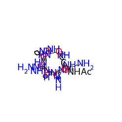 CC(=O)N[C@@H](CCCCN)C(=O)N[C@H]1CCCNC(=O)CCC(C(N)=O)NC(=O)[C@H](Cc2c[nH]c3ccccc23)NC(=O)[C@H](CCCNC(=N)N)NC(=O)[C@@H](Cc2ccccc2)NC(=O)[C@H](Cc2c[nH]cn2)NC1=O